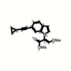 CO/C=C(/C(=O)OC)n1ccc2ccc(C#CC3CC3)cc21